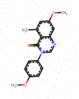 COc1ccc(-n2cnc3cc(OC)cc(C)c3c2=S)cc1